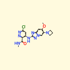 CNC(=O)c1nnc(Cl)cc1Nc1nc2cc(OC)c(N3CCC3)cn2n1